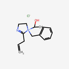 C=CCC1=NCC[N+]1(Cc1ccccc1)C(C)O.[Cl-]